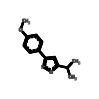 COc1ccc(-c2cc(C(C)C)on2)cc1